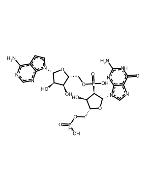 Nc1nc2c(ncn2[C@@H]2O[C@H](CO[PH](=O)O)[C@@H](O)[C@H]2P(=O)(O)OC[C@H]2O[C@@H](n3ccc4c(N)ncnc43)[C@H](O)[C@@H]2O)c(=O)[nH]1